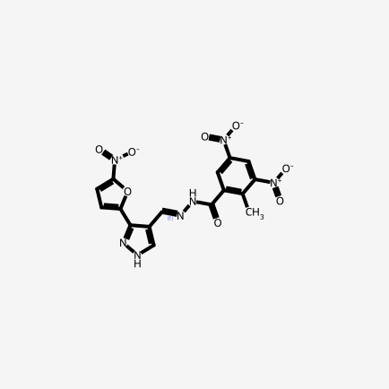 Cc1c(C(=O)N/N=C/c2c[nH]nc2-c2ccc([N+](=O)[O-])o2)cc([N+](=O)[O-])cc1[N+](=O)[O-]